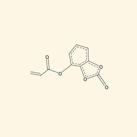 C=CC(=O)Oc1cccc2oc(=O)oc12